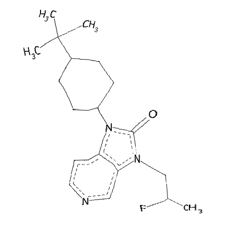 CC(F)Cn1c(=O)n(C2CCC(C(C)(C)C)CC2)c2ccncc21